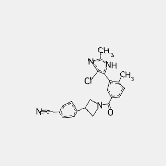 Cc1nc(Cl)c(-c2cc(C(=O)N3CC(c4ccc(C#N)cc4)C3)ccc2C)[nH]1